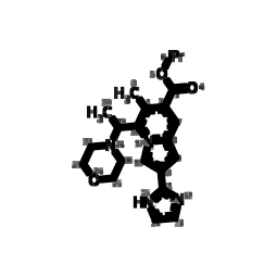 Cc1c(C(=O)OC(C)C)cc2cc(-c3ncc[nH]3)cn2c1C(C)N1CCOCC1